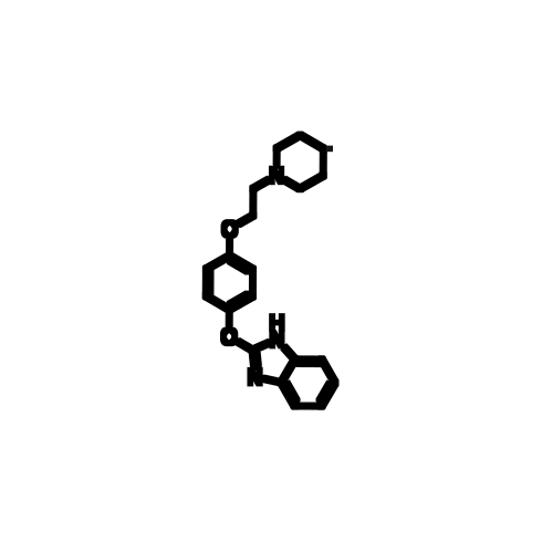 [CH]1CCN(CCOc2ccc(Oc3nc4ccccc4[nH]3)cc2)CC1